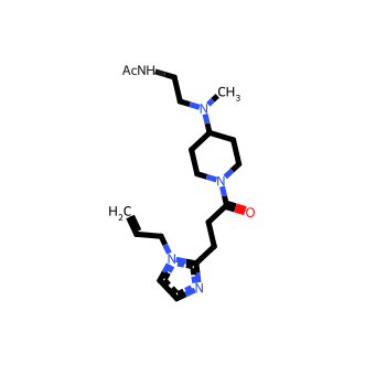 C=CCn1ccnc1CCC(=O)N1CCC(N(C)CCNC(C)=O)CC1